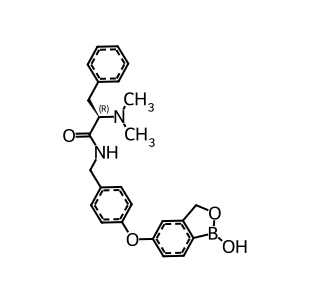 CN(C)[C@H](Cc1ccccc1)C(=O)NCc1ccc(Oc2ccc3c(c2)COB3O)cc1